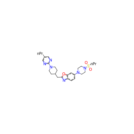 CCCc1cnc(N2CCC(Cc3nc4ccc(N5CCN(S(=O)(=O)CCC)CC5)cc4o3)CC2)nc1